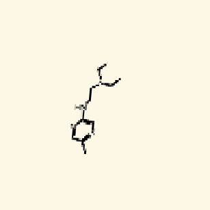 CCN(CC)CCNc1cnc(C)cn1